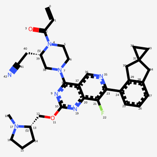 C=CC(=O)N1CCN(c2nc(OC[C@@H]3CCCN3C)nc3c(F)c(-c4cccc5c4CC4(CC4)C5)ncc23)C[C@@H]1CC#N